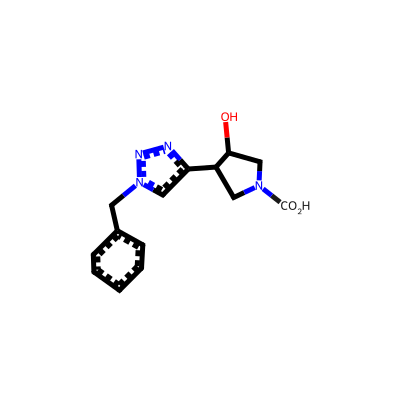 O=C(O)N1CC(O)C(c2cn(Cc3ccccc3)nn2)C1